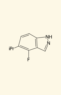 CC(C)c1ccc2[nH]ncc2c1F